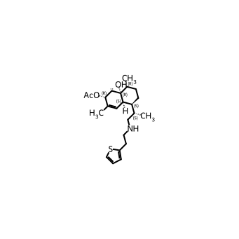 CC(=O)O[C@@H]1[C][C@@]2(O)[C@H](C)CC[C@@H]([C@H](C)CNCCc3cccs3)[C@H]2C=C1C